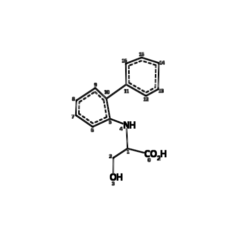 O=C(O)C(CO)Nc1ccccc1-c1ccccc1